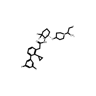 CC(CF)N1CCC(O[C@H]2CCCC(F)(F)[C@@H]2NC(=O)Cc2cccc(-c3cc(F)cc(F)c3)c2C2CC2)CC1